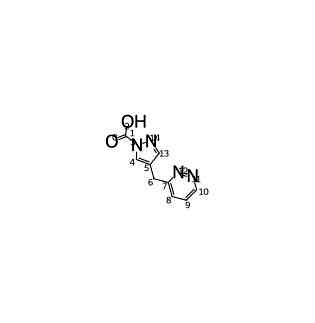 O=C(O)n1cc(Cc2cccnn2)cn1